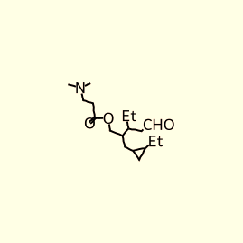 CCC(CC=O)C(COC(=O)CCN(C)C)CC1CC1CC